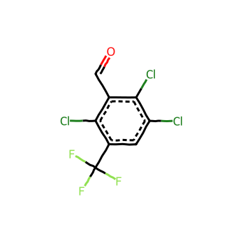 O=Cc1c(Cl)c(Cl)cc(C(F)(F)F)c1Cl